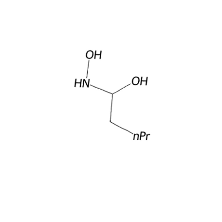 CCCCC(O)NO